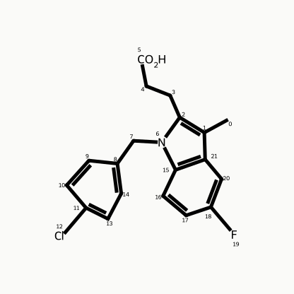 Cc1c(CCC(=O)O)n(Cc2ccc(Cl)cc2)c2ccc(F)cc12